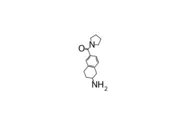 N[C@H]1CCc2cc(C(=O)N3CCCC3)ccc2C1